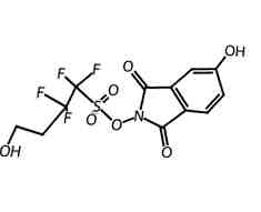 O=C1c2ccc(O)cc2C(=O)N1OS(=O)(=O)C(F)(F)C(F)(F)CCO